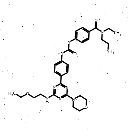 CCOCCNc1nc(-c2ccc(NC(=O)Nc3ccc(C(=O)N(CC)CCN)cc3)cc2)nc(N2CCOCC2)n1